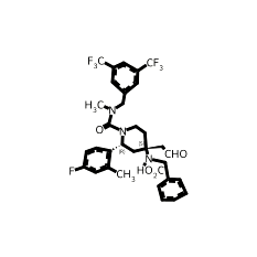 Cc1cc(F)ccc1[C@H]1C[C@@](CC=O)(N(Cc2ccccc2)C(=O)O)CCN1C(=O)N(C)Cc1cc(C(F)(F)F)cc(C(F)(F)F)c1